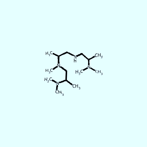 CC(CNCC(C)N(C)CC(C)N(C)C)N(C)C